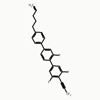 C=CCCCc1ccc(-c2ccc(-c3cc(F)c(C#CC(F)(F)F)c(F)c3)c(F)c2)cc1